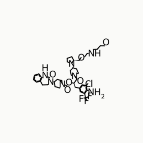 Nc1c(Cl)cc(C[C@@H](OC(=O)N2CCC(N3CCc4ccccc4NC3=O)CC2)C(=O)N2CCC(N3CCC[C@H]3COCCNCCCC=O)CC2)cc1C(F)(F)F